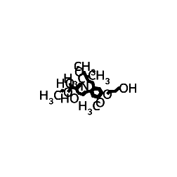 CCOC(O)C1=CN2C(=CC1O)c1cc(OC)c(OCCCO)cc1CC2C(C)(C)COC